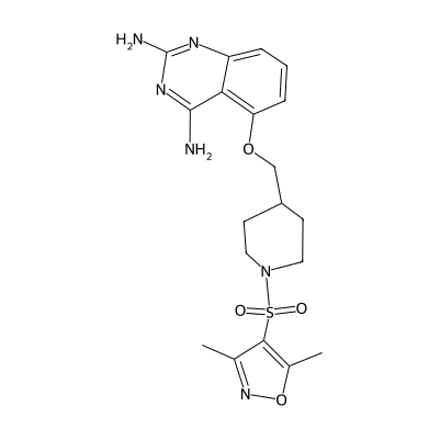 Cc1noc(C)c1S(=O)(=O)N1CCC(COc2cccc3nc(N)nc(N)c23)CC1